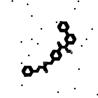 NN(C(=O)c1ccc(CNC(=O)OCc2cccnc2)cc1)c1cccc(-c2ccncc2)c1